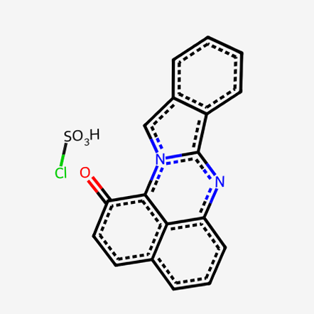 O=S(=O)(O)Cl.O=c1ccc2cccc3nc4c5ccccc5cn4c1c23